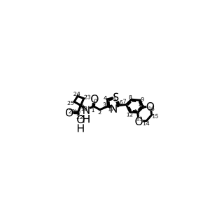 O=C(Cc1csc(-c2ccc3c(c2)OCCO3)n1)NC1(C(=O)O)CCC1